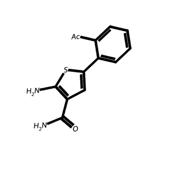 CC(=O)c1ccccc1-c1cc(C(N)=O)c(N)s1